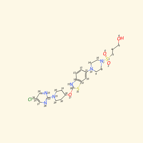 O=S(=O)(CCCO)N1CCN(c2ccc3nc(OC4CCN(c5ncc(Cl)cn5)CC4)sc3c2)CC1